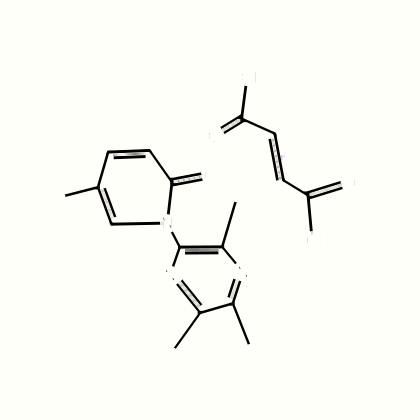 Cc1ccc(=O)n(-c2nc(C)c(C)nc2C)c1.O=C(O)/C=C/C(=O)O